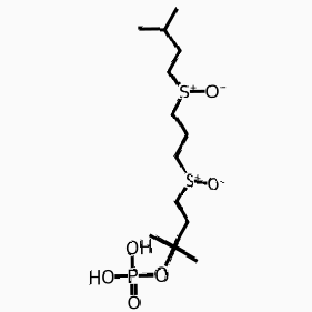 CC(C)CC[S+]([O-])CCC[S+]([O-])CCC(C)(C)OP(=O)(O)O